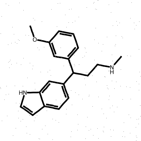 CNCCC(c1cccc(OC)c1)c1ccc2cc[nH]c2c1